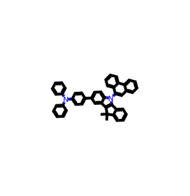 CC1(C)c2ccccc2-c2c1c1cc(-c3ccc(N(c4ccccc4)c4ccccc4)cc3)ccc1n2-c1cc2ccccc2c2ccccc12